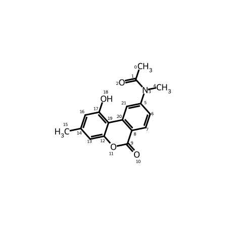 CC(=O)N(C)c1ccc2c(=O)oc3cc(C)cc(O)c3c2c1